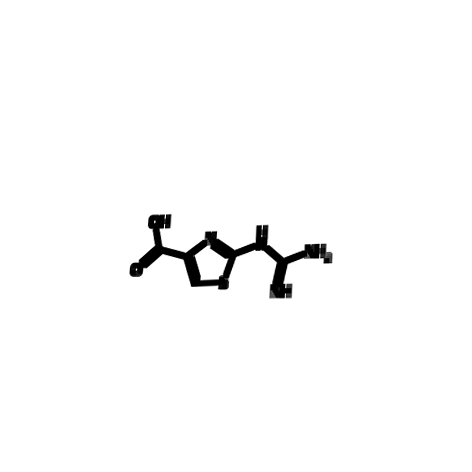 N=C(N)Nc1nc(C(=O)O)cs1